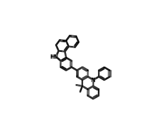 CC1(C)c2ccccc2N(c2cc#ccc2)c2ccc(-c3ccc4c(c3)C3=c5ccccc5=CCC3N4)cc21